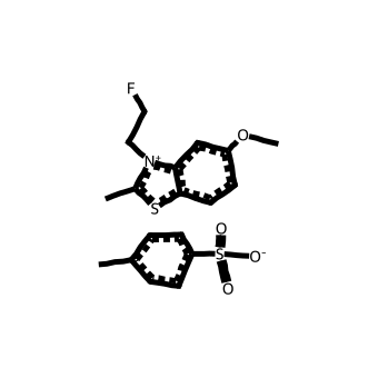 COc1ccc2sc(C)[n+](CCF)c2c1.Cc1ccc(S(=O)(=O)[O-])cc1